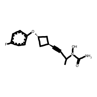 CC(C#C[C@H]1C[C@H](Oc2ccc(F)cc2)C1)N(O)C(N)=O